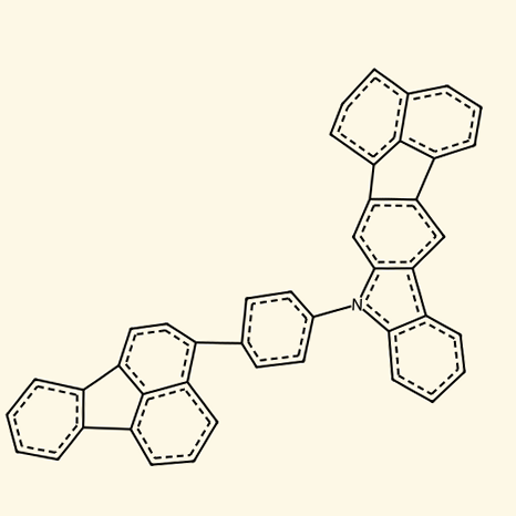 c1ccc2c(c1)-c1cccc3c(-c4ccc(-n5c6ccccc6c6cc7c(cc65)-c5cccc6cccc-7c56)cc4)ccc-2c13